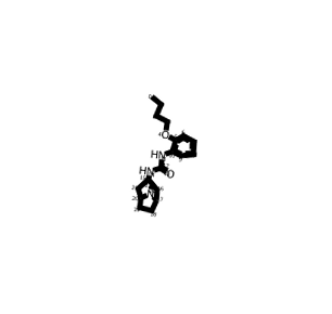 CCCCOc1ccccc1NC(=O)NC1CC2CCC(C1)N2C